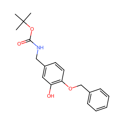 CC(C)(C)OC(=O)NCc1ccc(OCc2ccccc2)c(O)c1